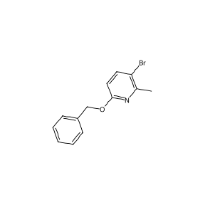 Cc1nc(OCc2ccccc2)ccc1Br